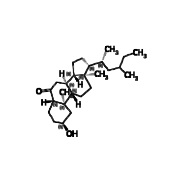 CCC(C)C[C@@H](C)[C@H]1CC[C@H]2[C@@H]3CC(=O)[C@H]4CC[C@H](O)C[C@]4(C)[C@H]3CC[C@]12C